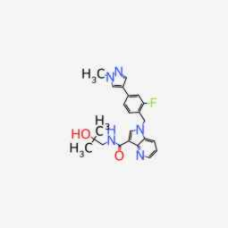 Cn1cc(-c2ccc(Cn3cc(C(=O)NCC(C)(C)O)c4ncccc43)c(F)c2)cn1